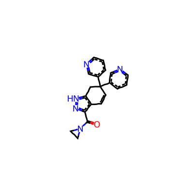 O=C(c1n[nH]c2c1C=CC(c1cccnc1)(c1cccnc1)C2)N1CC1